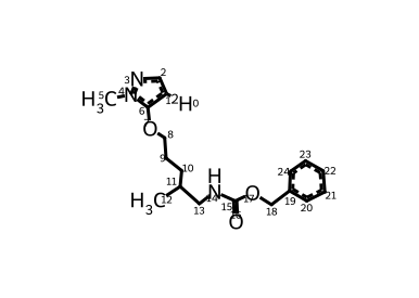 [2H]c1cnn(C)c1OCCCC(C)CNC(=O)OCc1ccccc1